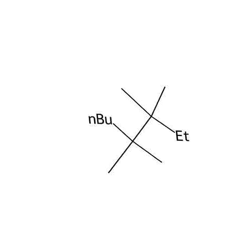 CCCCC(C)(C)C(C)(C)CC